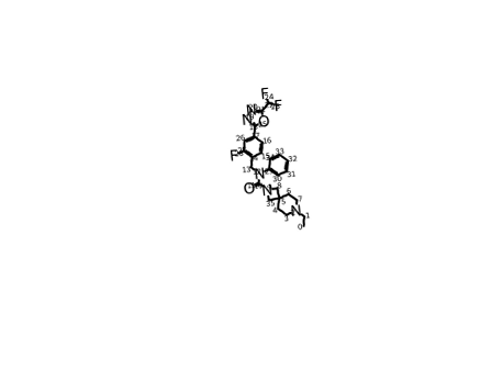 CCN1CCC2(CC1)CN(C(=O)N(Cc1ccc(-c3nnc(C(F)F)o3)cc1F)c1ccccc1)C2